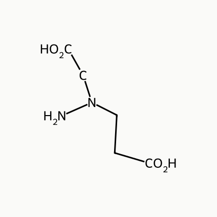 NN(CCC(=O)O)CC(=O)O